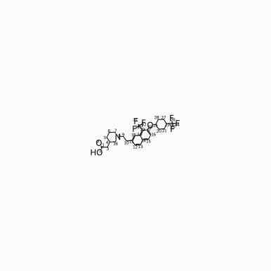 O=C(O)CC1CCCN(CCc2ccc3ccc(OC4CCC(C(F)(F)F)CC4)c(C(F)(F)F)c3c2)C1